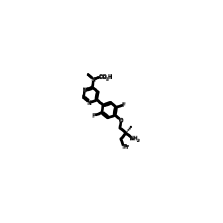 CC(C)C[C@](C)(N)COc1cc(F)c(-c2cc(N(C)C(=O)O)ncn2)cc1F